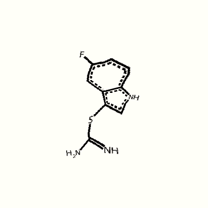 N=C(N)Sc1c[nH]c2ccc(F)cc12